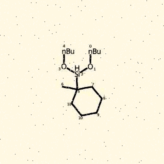 CCCCO[SiH](OCCCC)C1(C)CCCCC1